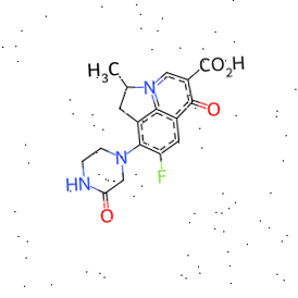 CC1Cc2c(N3CCNC(=O)C3)c(F)cc3c(=O)c(C(=O)O)cn1c23